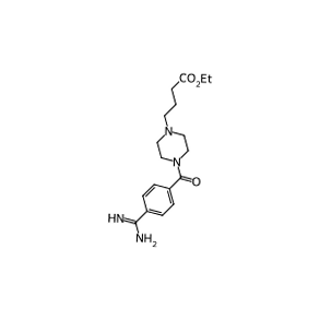 CCOC(=O)CCCN1CCN(C(=O)c2ccc(C(=N)N)cc2)CC1